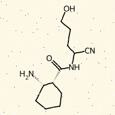 N#CC(CCCO)NC(=O)[C@@H]1CCCC[C@@H]1N